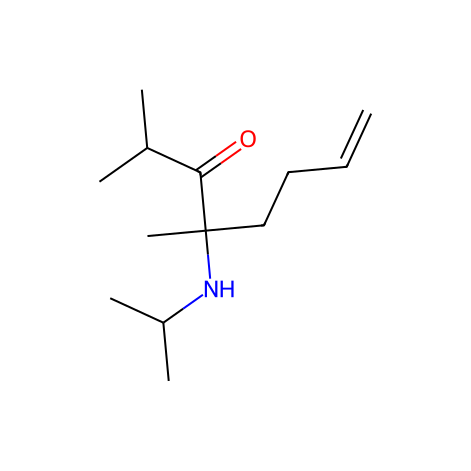 C=CCCC(C)(NC(C)C)C(=O)C(C)C